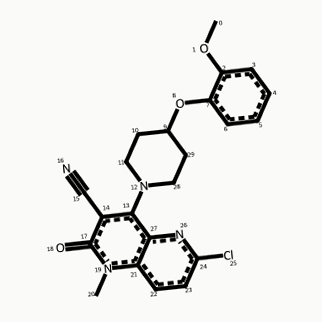 COc1ccccc1OC1CCN(c2c(C#N)c(=O)n(C)c3ccc(Cl)nc23)CC1